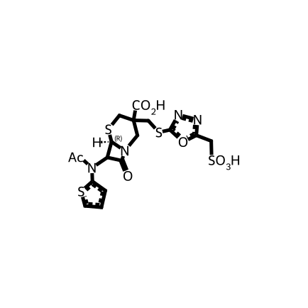 CC(=O)N(c1cccs1)C1C(=O)N2CC(CSc3nnc(CS(=O)(=O)O)o3)(C(=O)O)CS[C@H]12